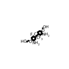 Nc1cc(C(c2ccc(OCCO)c(N)c2)(C(F)(F)F)C(F)(F)F)ccc1OCO